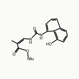 CCCCOC(=O)C(C)=CNC(=O)Nc1cccc2cccc(O)c12